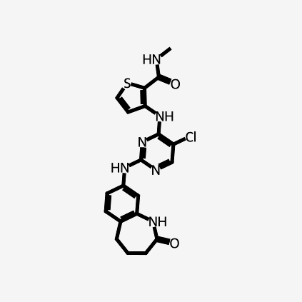 CNC(=O)c1sccc1Nc1nc(Nc2ccc3c(c2)NC(=O)CCC3)ncc1Cl